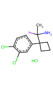 CC(N)(I)C1(c2ccc(Cl)c(Cl)c2)CCC1.Cl